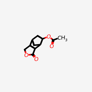 CC(=O)OC1CC2CC1C1C(=O)OCC21